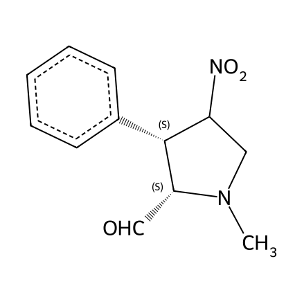 CN1CC([N+](=O)[O-])[C@@H](c2ccccc2)[C@H]1C=O